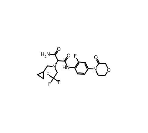 NC(=O)[C@@H](C(=O)Nc1ccc(N2CCOCC2=O)cc1F)N(CC1CC1)CC(F)(F)F